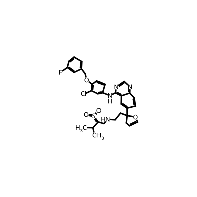 CC(C)C(CNCCC1(c2ccc3ncnc(Nc4ccc(OCc5cccc(F)c5)c(Cl)c4)c3c2)CC=CO1)=S(=O)=O